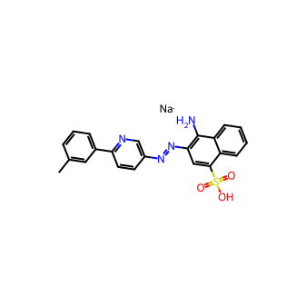 Cc1cccc(-c2ccc(N=Nc3cc(S(=O)(=O)O)c4ccccc4c3N)cn2)c1.[Na]